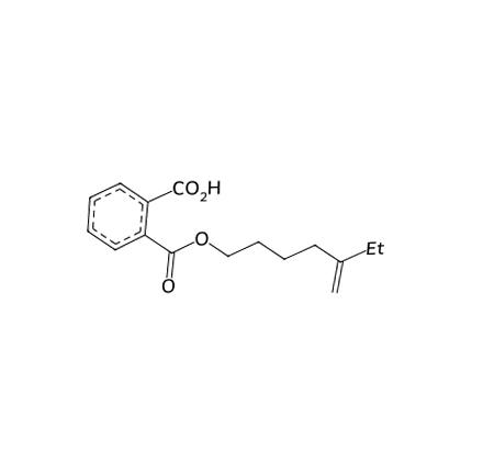 C=C(CC)CCCCOC(=O)c1ccccc1C(=O)O